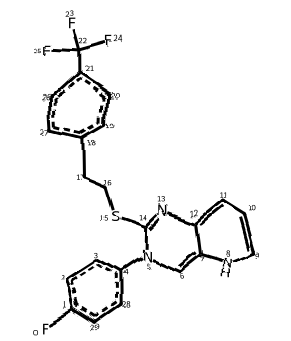 Fc1ccc(N2C=C3NC=CC=C3N=C2SCCc2ccc(C(F)(F)F)cc2)cc1